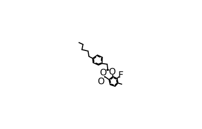 CCCCCc1ccc(CC(=O)Oc2c(C=O)ccc(C)c2F)cc1